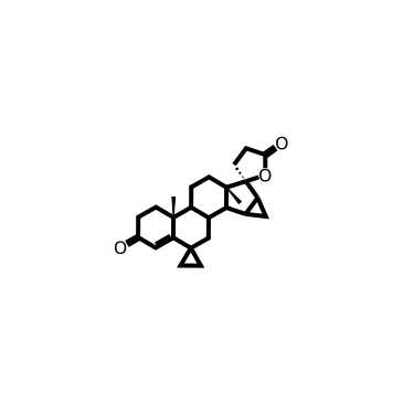 C[C@]12CCC(=O)C=C1C1(CC1)CC1C2CC[C@@]2(C)C1C1CC1[C@@]21CCC(=O)O1